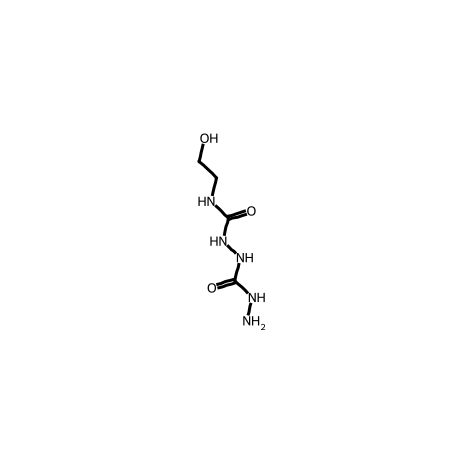 NNC(=O)NNC(=O)NCCO